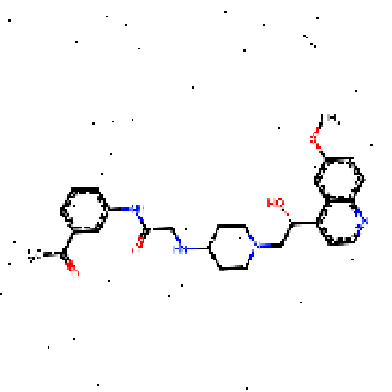 COc1ccc2nccc([C@@H](O)CN3CCC(NCC(=O)Nc4cccc(C(C)=O)c4)CC3)c2c1